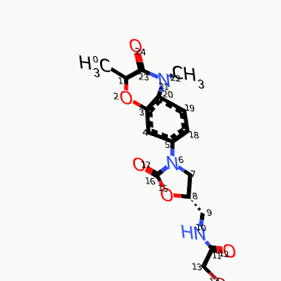 CC1Oc2cc(N3C[C@H](CNC(=O)CBr)OC3=O)ccc2N(C)C1=O